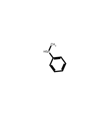 [CH3][SnH][c]1ccccc1